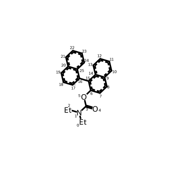 CCN(CC)C(=O)Oc1ccc2ccccc2c1-c1[c]ccc2ccccc12